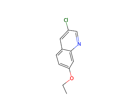 CCOc1ccc2cc(Cl)cnc2c1